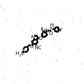 [C-]#[N+]c1cc2c(Oc3ccc(NC(=O)Nc4ccc(F)cc4)c(F)c3)ccnc2cc1OCC1CCN(C)CC1